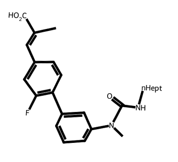 CCCCCCCNC(=O)N(C)c1cccc(-c2ccc(C=C(C)C(=O)O)cc2F)c1